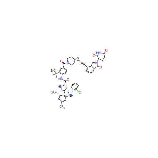 CC(C)(C)C[C@@H]1N[C@@H](C(=O)Nc2ccc(C(=O)N3CCC4(CC3)C[C@@H]4C#Cc3cccc4c3CN(C3CCC(=O)NC3=O)C4=O)cc2C(C)(C)C#N)[C@H](c2cccc(Cl)c2F)[C@]12CNc1cc(C(F)(F)F)ncc12